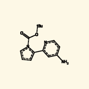 CC(C)(C)OC(=O)n1cccc1-c1cc(N)ccn1